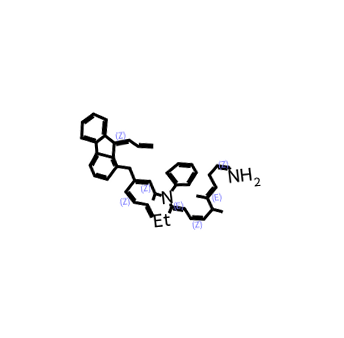 C=C/C=C\C(=C/C(C)N(/C(=C/C=C\C(C)/C(C)=C/C/C=C\N)CC)c1ccccc1)Cc1cccc2c1/C(=C\C=C)c1ccccc1-2